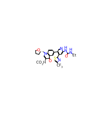 CCNC(=O)Nc1cc(-c2nc(C(F)(F)F)cs2)c(-c2ccc3c(c2)c(=O)c(C(=O)O)cn3C[C@@H]2CCCO2)cn1